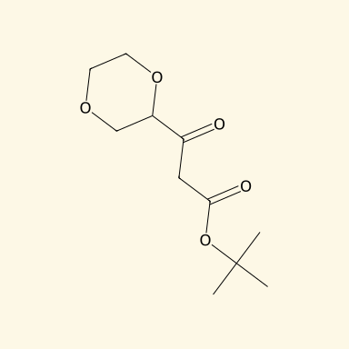 CC(C)(C)OC(=O)CC(=O)C1COCCO1